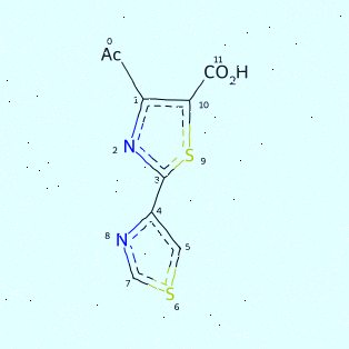 CC(=O)c1nc(-c2cscn2)sc1C(=O)O